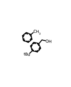 CC(C)(C)c1ccc(CO)cc1.Cc1ccccc1